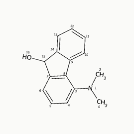 CN(C)c1cccc2c1-c1ccccc1C2O